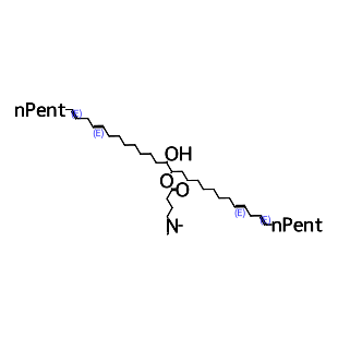 CCCCC/C=C/C/C=C/CCCCCCCC(O)C(CCCCCCC/C=C/C/C=C/CCCCC)OC(=O)CCCN(C)C